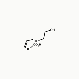 C=CC.O=C(O)O.OCCO